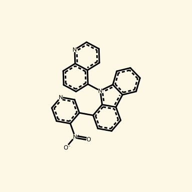 O=[N+]([O-])c1ccncc1-c1cccc2c3ccccc3n(-c3cccc4ncccc34)c12